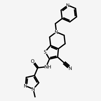 Cn1cc(C(=O)Nc2sc3c(c2C#N)CCN(Cc2cccnc2)C3)cn1